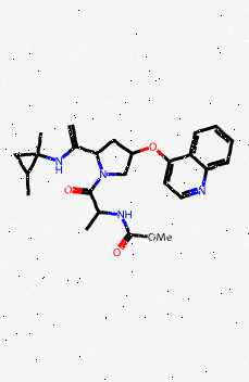 C=C(NC1(C)CC1C)C1CC(Oc2ccnc3ccccc23)CN1C(=O)C(C)NC(=O)OC